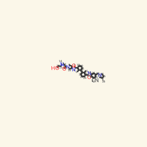 Cc1c(-c2nc3c(o2)CN(C(=O)CN(C)CCO)C3)cccc1-c1cccc(-c2nc3cc(CN4CC[C@@H](C)C4)cc(C#N)c3o2)c1C